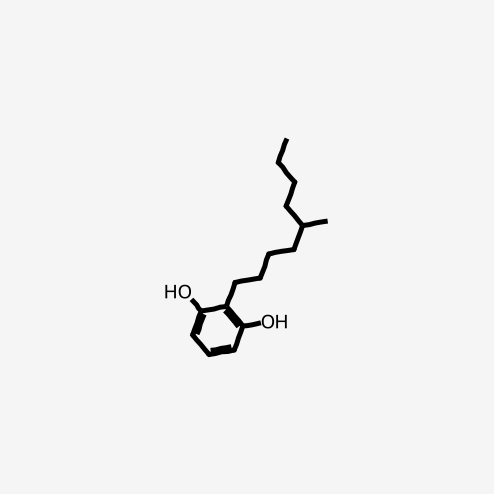 CCCCC(C)CCCCc1c(O)cccc1O